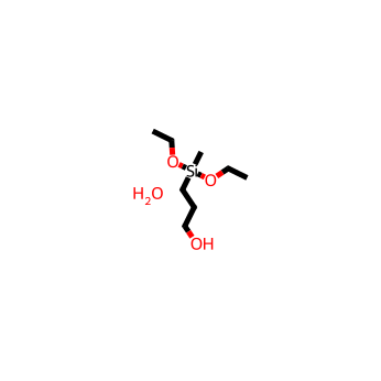 CCO[Si](C)(CCCO)OCC.O